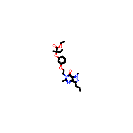 CCCc1nn(C)c2c(=O)n(CCOc3cccc(OC(C)(CC)C(=O)OCC)c3)c(C)nc12